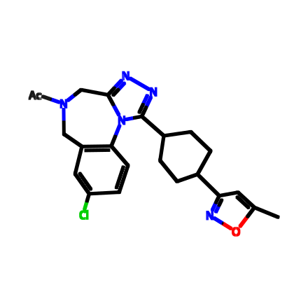 CC(=O)N1Cc2cc(Cl)ccc2-n2c(nnc2C2CCC(c3cc(C)on3)CC2)C1